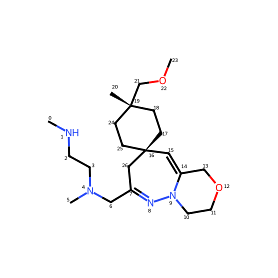 CNCCN(C)CC1=NN2CCOCC2=C[C@]2(CC[C@@](C)(COC)CC2)C1